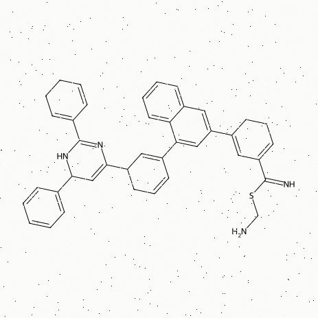 N=C(SCN)C1=CCCC(c2cc(C3=CC(C4=CC(c5ccccc5)NC(C5=CCCC=C5)=N4)CC=C3)c3ccccc3c2)=C1